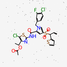 C=CC(c1cccs1)S(=O)(=O)c1cc(C(=O)Nc2nc(C(C)OC(C)=O)c(Cl)s2)n(Cc2ccc(Cl)c(F)c2)c1